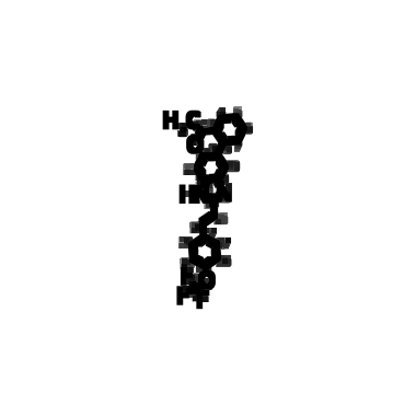 CC(=O)c1ccccc1-c1ccc2[nH]c(C=Cc3ccc(OC(F)(F)F)cc3)nc2c1